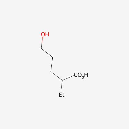 CCC(CCCO)C(=O)O